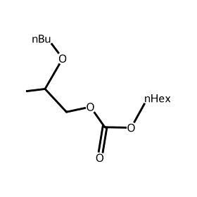 CCCCCCOC(=O)OCC(C)OCCCC